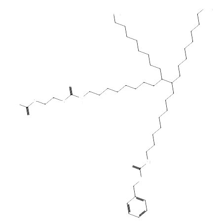 CCCCCCCCCC(CCCCCCCCNC(=O)NCCNC(C)=O)C(CCCCCCCCC)CCCCCCCCNC(=O)OCc1ccccc1